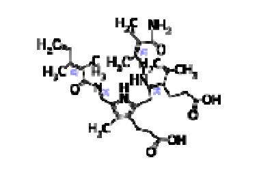 C=C/C(C(N)=O)=C(\C)CN/C(Cc1[nH]c(/C=N/C(=O)/C(C)=C(\C)C=C)c(C)c1CCC(=O)O)=C(/CCC(=O)O)C(=C)C